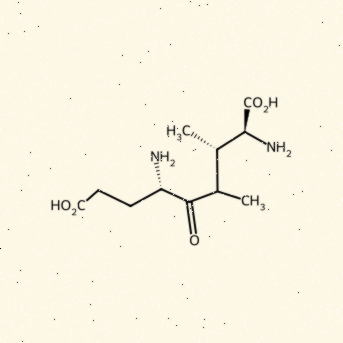 CC(C(=O)[C@@H](N)CCC(=O)O)[C@H](C)[C@H](N)C(=O)O